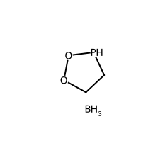 B.C1CPOO1